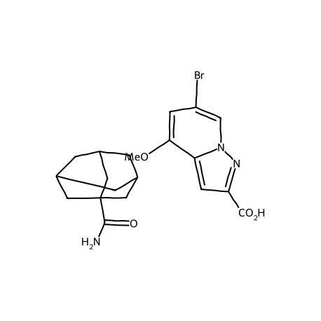 COc1cc(Br)cn2nc(C(=O)O)cc12.NC(=O)C12CC3CC(CC(C3)C1)C2